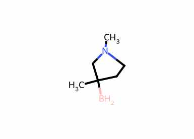 BC1(C)CCN(C)C1